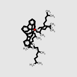 CC(C)CCCC(C)CCOC1=[C]c2ccc3c(c2)C(CCC(C)CCCC(C)C)(CCC(C)CCCC(C)C)c2cc(ccc2-3)-c2[c]c1cc1c2-c2cccc(OCCC(C)CCCC(C)C)c2-1